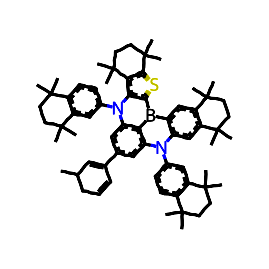 CC1C=C(c2cc3c4c(c2)N(c2ccc5c(c2)C(C)(C)CCC5(C)C)c2c(sc5c2C(C)(C)CCC5(C)C)B4c2cc4c(cc2N3c2ccc3c(c2)C(C)(C)CCC3(C)C)C(C)(C)CCC4(C)C)C=CC1